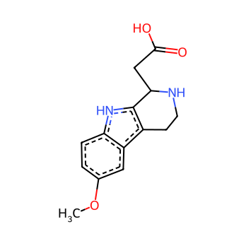 COc1ccc2[nH]c3c(c2c1)CCNC3CC(=O)O